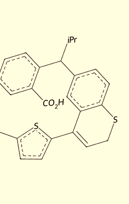 Cc1ccc(C2=CCSc3ccc(C(c4ccccc4C(=O)O)C(C)C)cc32)s1